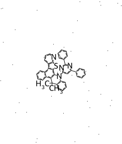 CC1(C)c2ccccc2N(c2cc(-c3ccccc3)nc(-c3ccccc3)n2)c2c1c1ccccc1c1c2sc2ncccc21